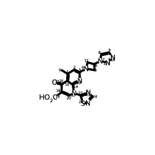 Cc1cc(N2CC(n3ccnn3)C2)nc2c1c(=O)c(C(=O)O)cn2-c1ncns1